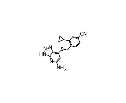 N#Cc1ccc(CSc2cc(N)nc3[nH]nnc23)c(C2CC2)c1